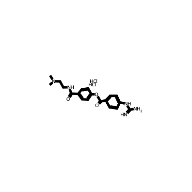 CN(C)CCNC(=O)c1ccc(OC(=O)c2ccc(NC(=N)N)cc2)cc1.Cl.Cl